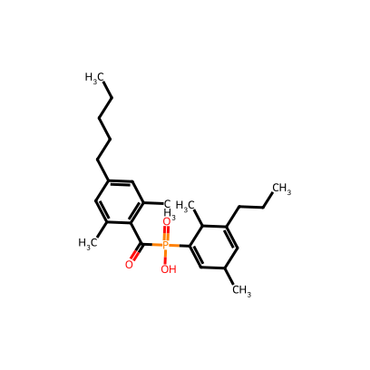 CCCCCc1cc(C)c(C(=O)P(=O)(O)C2=CC(C)C=C(CCC)C2C)c(C)c1